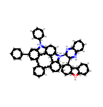 c1ccc(-c2cc3c4ccccc4c4cccc5c4c4c6c3c(c2)n(-c2ccccc2)c6ccc4n5-c2nc3ccccc3nc2-c2cccc3oc4ccccc4c23)cc1